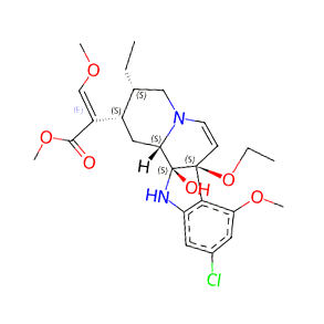 CCO[C@]12C=CN3C[C@@H](CC)[C@@H](/C(=C\OC)C(=O)OC)C[C@H]3[C@@]1(O)Nc1cc(Cl)cc(OC)c12